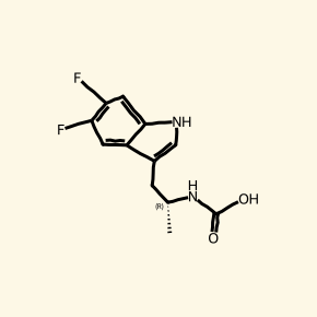 C[C@H](Cc1c[nH]c2cc(F)c(F)cc12)NC(=O)O